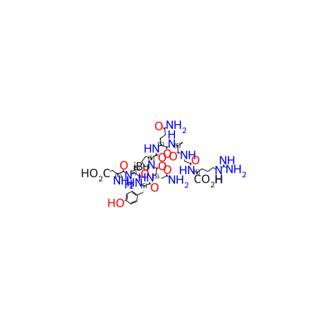 CC[C@H](C)[C@H](NC(=O)[C@@H](N)CC(=O)O)C(=O)N[C@@H](Cc1ccc(O)cc1)C(=O)N[C@@H](CC(N)=O)C(=O)N1CCC[C@H]1C(=O)N[C@@H](CCC(N)=O)C(=O)N[C@@H](C)C(=O)NCC(=O)N[C@@H](CCCNC(=N)N)C(=O)O